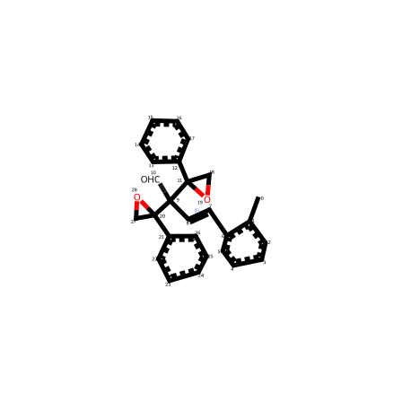 Cc1ccccc1/C=C/C(C=O)(C1(c2ccccc2)CO1)C1(c2ccccc2)CO1